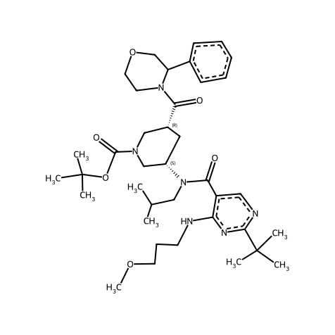 COCCCNc1nc(C(C)(C)C)ncc1C(=O)N(CC(C)C)[C@H]1C[C@@H](C(=O)N2CCOCC2c2ccccc2)CN(C(=O)OC(C)(C)C)C1